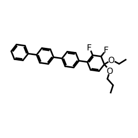 CCCOC1(OCC)C=CC(c2ccc(-c3ccc(-c4ccccc4)cc3)cc2)=C(F)C1F